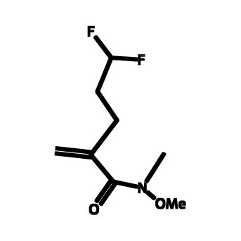 C=C(CCC(F)F)C(=O)N(C)OC